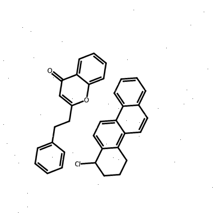 ClC1CCCc2c1ccc1c2ccc2ccccc21.O=c1cc(CCc2ccccc2)oc2ccccc12